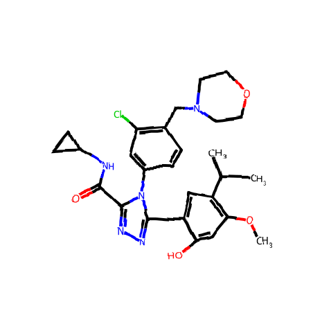 COc1cc(O)c(-c2nnc(C(=O)NC3CC3)n2-c2ccc(CN3CCOCC3)c(Cl)c2)cc1C(C)C